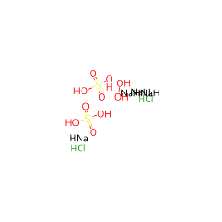 Cl.Cl.O=S(=O)(O)O.O=S(=O)(O)O.OO.[NaH].[NaH].[NaH].[NaH]